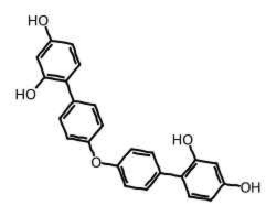 Oc1ccc(-c2ccc(Oc3ccc(-c4ccc(O)cc4O)cc3)cc2)c(O)c1